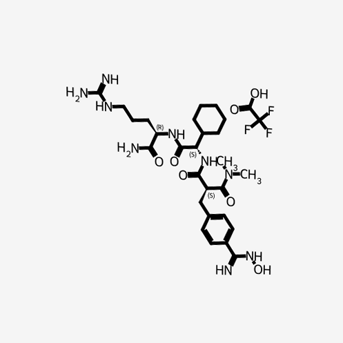 CN(C)C(=O)[C@@H](Cc1ccc(C(=N)NO)cc1)C(=O)N[C@H](C(=O)N[C@H](CCCNC(=N)N)C(N)=O)C1CCCCC1.O=C(O)C(F)(F)F